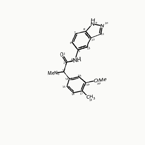 CNC(C(=O)Nc1ccc2[nH]ncc2c1)c1ccc(C)c(OC)c1